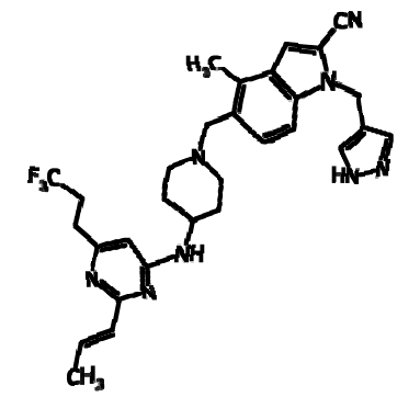 C/C=C/c1nc(CCC(F)(F)F)cc(NC2CCN(Cc3ccc4c(cc(C#N)n4Cc4cn[nH]c4)c3C)CC2)n1